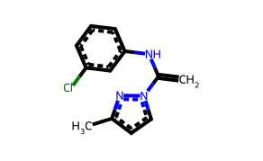 C=C(Nc1cccc(Cl)c1)n1ccc(C)n1